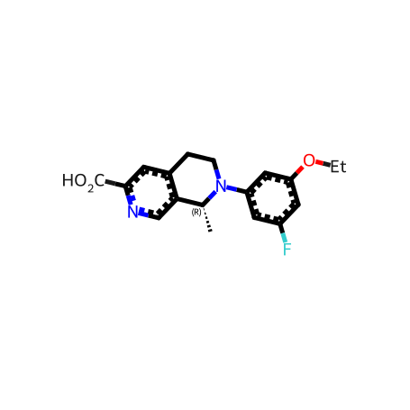 CCOc1cc(F)cc(N2CCc3cc(C(=O)O)ncc3[C@H]2C)c1